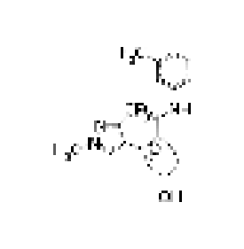 Cn1cc(C2C3OC(CC3O)C2C(=O)Nc2cccc(C(F)(F)F)c2)c(C(F)(F)F)n1